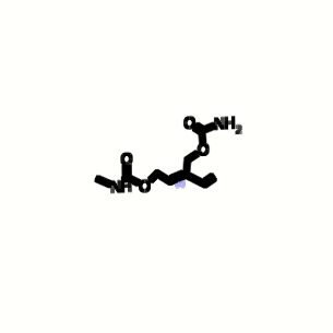 C=C/C(=C/COC(=O)NC)COC(N)=O